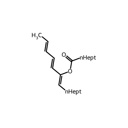 CC=CC=CC(=CCCCCCCC)OC(=O)CCCCCCC